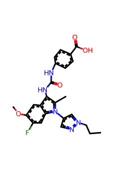 CCCn1cc(-n2c(C)c(NC(=O)Nc3ccc(C(=O)O)cc3)c3cc(OC)c(F)cc32)cn1